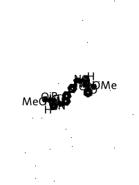 COC(=O)N[C@H](C(=O)N1CCC[C@H]1c1nc2ccc3cc(-c4ccc(-c5cnc(C6CCCN6C(=O)[C@H](NC(=O)OC)c6ccccc6)[nH]5)cc4)ccc3c2[nH]1)C(C)C